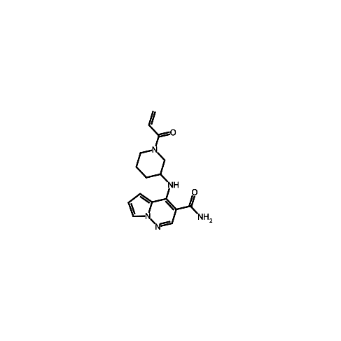 C=CC(=O)N1CCCC(Nc2c(C(N)=O)cnn3cccc23)C1